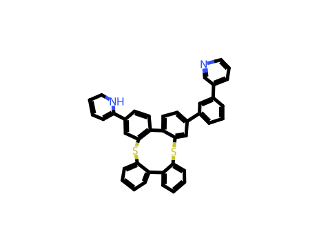 C1=CCNC(c2ccc3c(c2)Sc2ccccc2-c2ccccc2Sc2cc(-c4cccc(-c5cccnc5)c4)ccc2-3)=C1